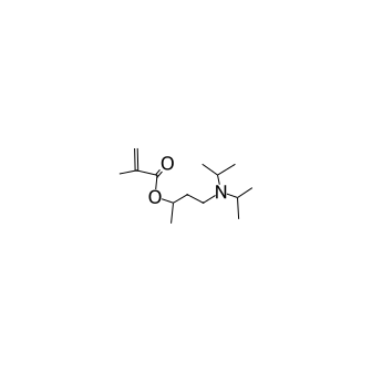 C=C(C)C(=O)OC(C)CCN(C(C)C)C(C)C